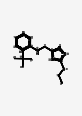 CCSc1nnc(CNc2ccccc2C(C)(C)C)s1